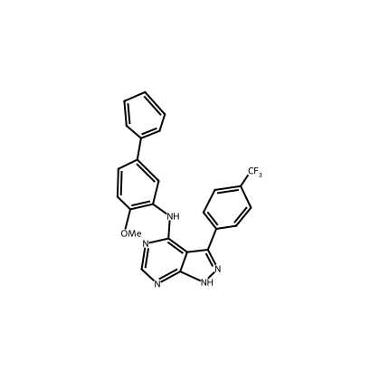 COc1ccc(-c2ccccc2)cc1Nc1ncnc2[nH]nc(-c3ccc(C(F)(F)F)cc3)c12